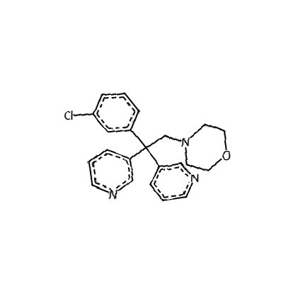 Clc1cccc(C(CN2CCOCC2)(c2cccnc2)c2cccnc2)c1